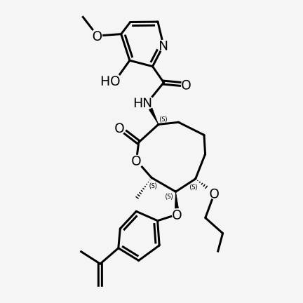 C=C(C)c1ccc(O[C@H]2[C@H](C)OC(=O)[C@@H](NC(=O)c3nccc(OC)c3O)CCC[C@@H]2OCCC)cc1